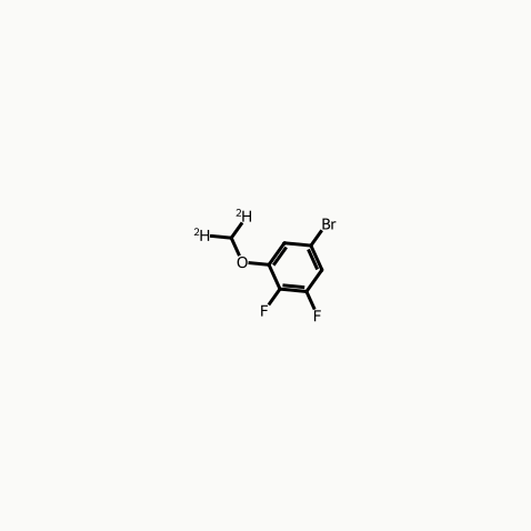 [2H]C([2H])Oc1cc(Br)cc(F)c1F